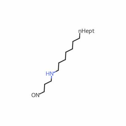 CCCCCCCCCCCCCCNCCCN=O